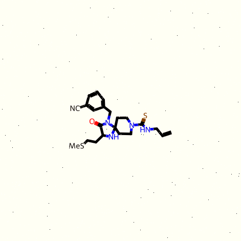 C=CCNC(=S)N1CCC2(CC1)NC(CCSC)C(=O)N2Cc1cccc(C#N)c1